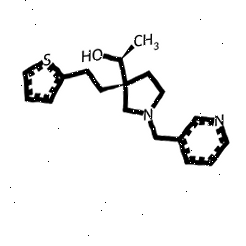 C[C@H](O)[C@]1(CCc2cccs2)CCN(Cc2cccnc2)C1